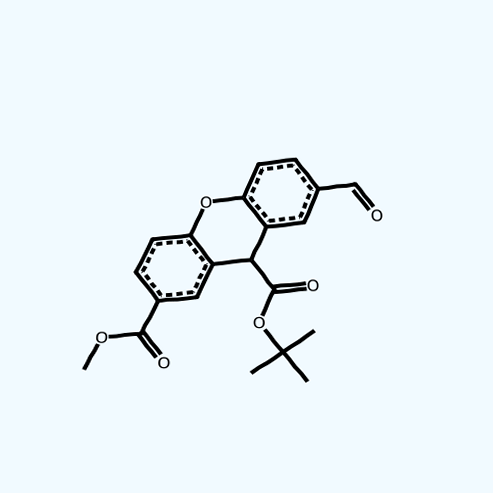 COC(=O)c1ccc2c(c1)C(C(=O)OC(C)(C)C)c1cc(C=O)ccc1O2